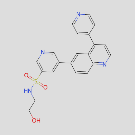 O=S(=O)(NCCO)c1cncc(-c2ccc3nccc(-c4ccncc4)c3c2)c1